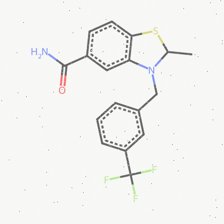 CC1Sc2ccc(C(N)=O)cc2N1Cc1cccc(C(F)(F)F)c1